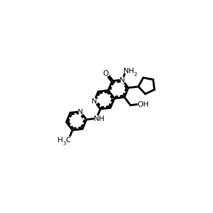 Cc1ccnc(Nc2cc3c(CO)c(C4CCCC4)n(N)c(=O)c3cn2)c1